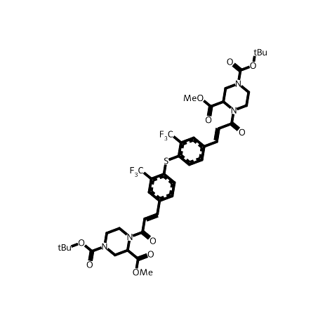 COC(=O)C1CN(C(=O)OC(C)(C)C)CCN1C(=O)/C=C/c1ccc(Sc2ccc(/C=C/C(=O)N3CCN(C(=O)OC(C)(C)C)CC3C(=O)OC)cc2C(F)(F)F)c(C(F)(F)F)c1